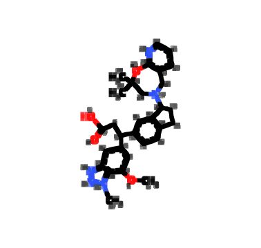 COc1cc(C(CC(=O)O)c2ccc3c(c2)C(N2Cc4cccnc4OC(C)(C)C2)CC3)cc2nnn(C)c12